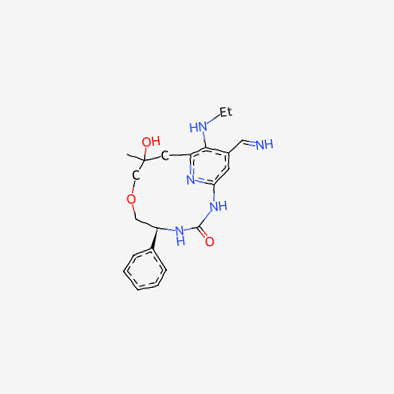 CCNc1c(C=N)cc2nc1CC(C)(O)COC[C@H](c1ccccc1)NC(=O)N2